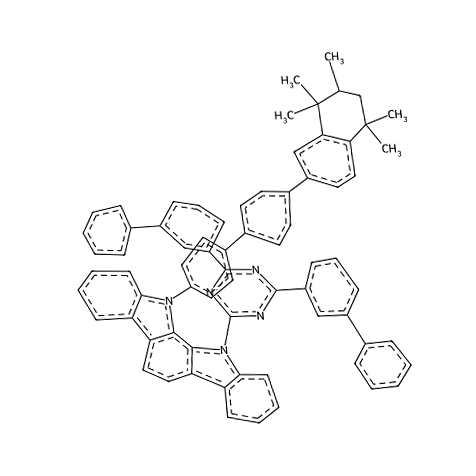 CC1CC(C)(C)c2ccc(-c3ccc(-c4ccc(-n5c6ccccc6c6ccc7c8ccccc8n(-c8nc(-c9cccc(-c%10ccccc%10)c9)nc(-c9cccc(-c%10ccccc%10)c9)n8)c7c65)cc4)cc3)cc2C1(C)C